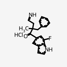 CC(CC=N)(Cc1ccccc1)C(=O)c1cc(F)c2[nH]ccc2c1.Cl